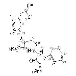 C=c1cc(C)c(CC(=O)Cl)c/c1=C/C=C1\CSC(C(NCc2ccccc2)C(=O)OCCC)N=C1C(=O)O